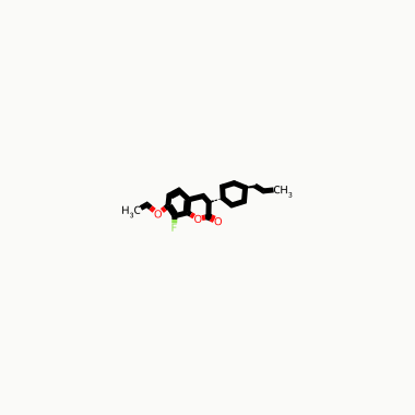 CCC[C@H]1CC[C@H](C2Cc3ccc(OCC)c(F)c3OC2=O)CC1